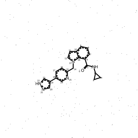 O=C(NC1[CH]C1)c1cccc2ccn(Cc3ccc(-c4cn[nH]c4)cn3)c12